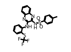 Cc1ccc(S(=O)(=O)Nc2nc3ccccc3nc2Nc2ccccc2SC(F)(F)F)cc1